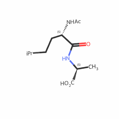 CC(=O)N[C@@H](CCC(C)C)C(=O)N[C@@H](C)C(=O)O